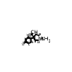 CNC1(c2ccc(I)cc2)CCN(C)CC1